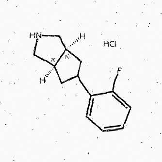 Cl.Fc1ccccc1C1C[C@H]2CNC[C@H]2C1